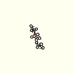 c1ccc(N(c2ccc3cc4c(cc3c2)C2(c3ccccc3-c3ccccc32)c2c-4c3ccccc3c3cc(N(c4ccccc4)c4cccc5c4sc4ccccc45)ccc23)c2cccc3c2sc2ccccc23)cc1